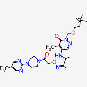 CC(=NOCC(=O)N1CCN(c2ncc(C(F)(F)F)cn2)CC1)C(C)Nc1cnn(COCC[Si](C)(C)C)c(=O)c1C(F)(F)F